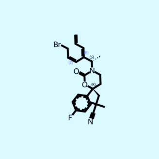 C=C/C=C(\C=C/CBr)[C@H](C)N1CC[C@](CC(C)(C)C#N)(c2ccc(F)cc2)OC1=O